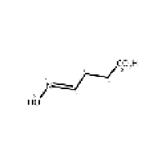 O=C(O)CC/C=N/O